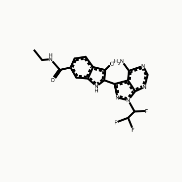 CCNC(=O)c1ccc2c(Cl)c(-c3nn(C(F)C(F)F)c4ncnc(N)c34)[nH]c2c1